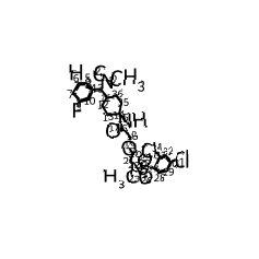 CN(C)C(c1cccc(F)c1)C1CCC(NC(=O)COCCN(C)S(=O)(=O)c2ccc(Cl)cc2Cl)CC1